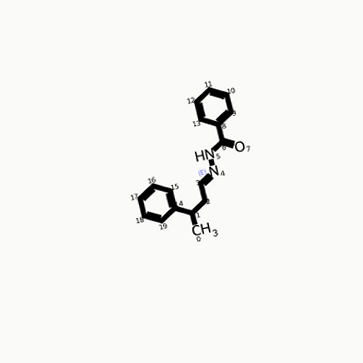 CC(C/C=N/NC(=O)c1ccccc1)c1ccccc1